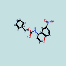 O=C(N[C@@H]1C=COc2ccc([N+](=O)[O-])cc21)OCc1ccccc1